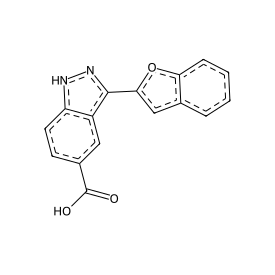 O=C(O)c1ccc2[nH]nc(-c3cc4ccccc4o3)c2c1